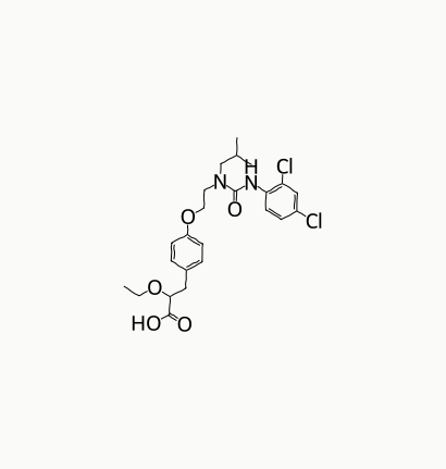 CCOC(Cc1ccc(OCCN(CC(C)C)C(=O)Nc2ccc(Cl)cc2Cl)cc1)C(=O)O